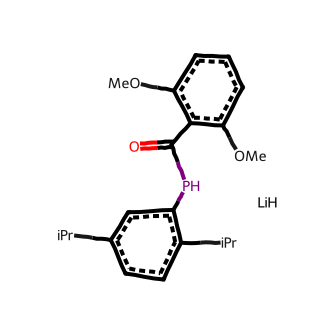 COc1cccc(OC)c1C(=O)Pc1cc(C(C)C)ccc1C(C)C.[LiH]